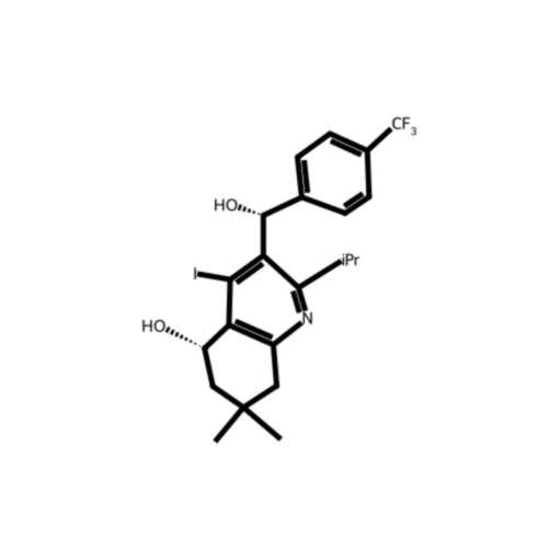 CC(C)c1nc2c(c(I)c1[C@H](O)c1ccc(C(F)(F)F)cc1)[C@@H](O)CC(C)(C)C2